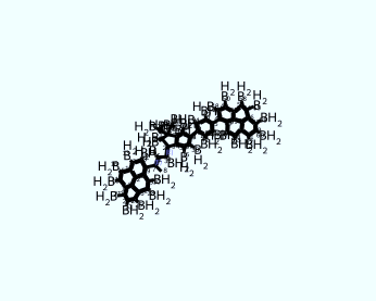 B=C1/C(=C(B)\C(B)=C(/C)c2c(B)c(B)c3c(B)c(B)c4c(B)c(B)c(B)c5c(B)c(B)c2c3c45)c2c(B)c(B)c(-c3c(B)c(B)c(-c4c(B)c(B)c5c(B)c(B)c6c(B)c(B)c(B)c7c(B)c(B)c4c5c67)c(B)c3B)c(B)c2C1(C(B)(B)B)C(B)(B)B